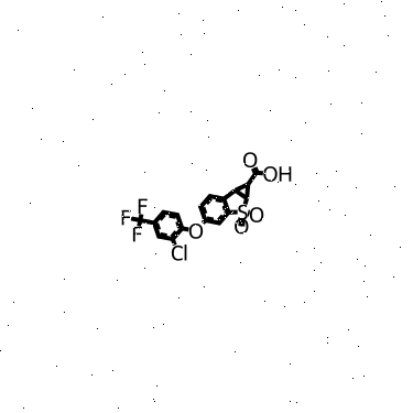 O=C(O)C1C2c3ccc(Oc4ccc(C(F)(F)F)cc4Cl)cc3S(=O)(=O)C12